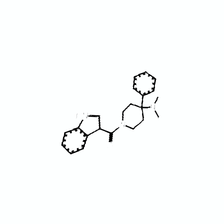 CN(C)C1(c2ccccc2)CCN(C(=O)C2CNc3ccccc32)CC1